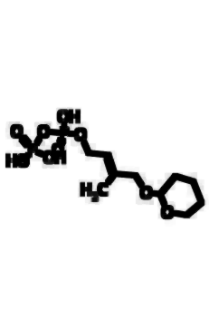 C/C(=C\COP(=O)(O)OP(=O)(O)O)COC1CCCCO1